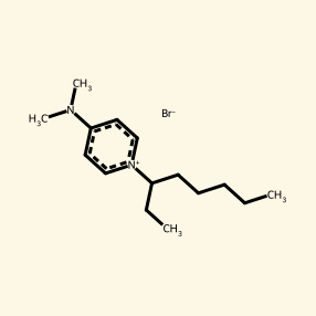 CCCCCC(CC)[n+]1ccc(N(C)C)cc1.[Br-]